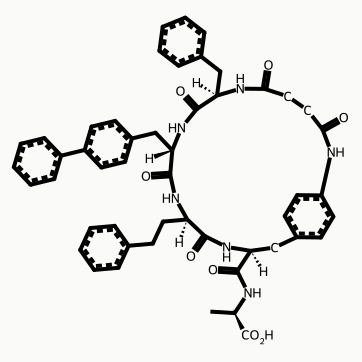 C[C@@H](NC(=O)[C@@H]1Cc2ccc(cc2)NC(=O)CCC(=O)N[C@H](Cc2ccccc2)C(=O)N[C@@H](Cc2ccc(-c3ccccc3)cc2)C(=O)N[C@H](CCc2ccccc2)C(=O)N1)C(=O)O